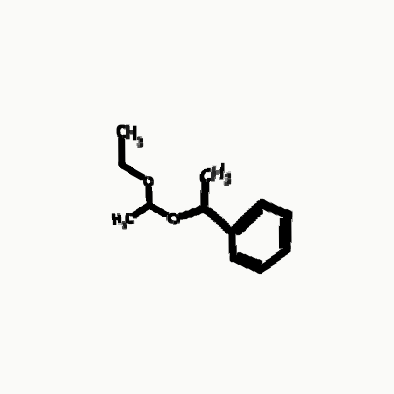 CCOC(C)OC(C)c1ccccc1